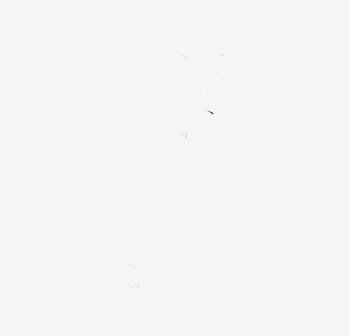 O[C@@H](CNCCOc1ccc(-c2csnn2)cc1)c1cccnc1